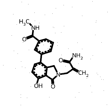 C=C(CN1Cc2c(-c3cccc(C(=O)NC)c3)ccc(O)c2C1=O)C(N)=O